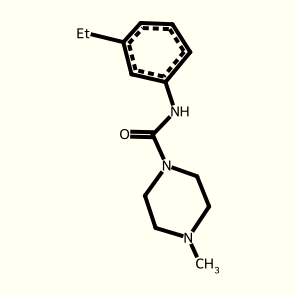 CCc1cccc(NC(=O)N2CCN(C)CC2)c1